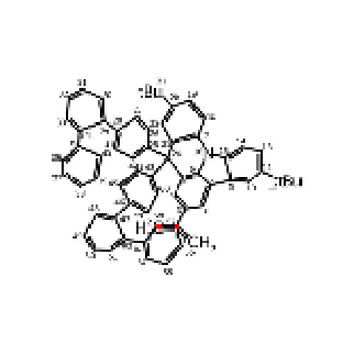 C=C(C)c1cc2c3c(c1)c1cc(C(C)(C)C)ccc1n3-c1ccc(C(C)(C)C)cc1C2(c1ccc(-c2ccccc2-c2ccccc2)cc1)c1ccc(-c2ccccc2-c2ccccc2)cc1